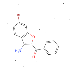 Nc1c(C(=O)c2ccccc2)oc2cc(Br)ccc12